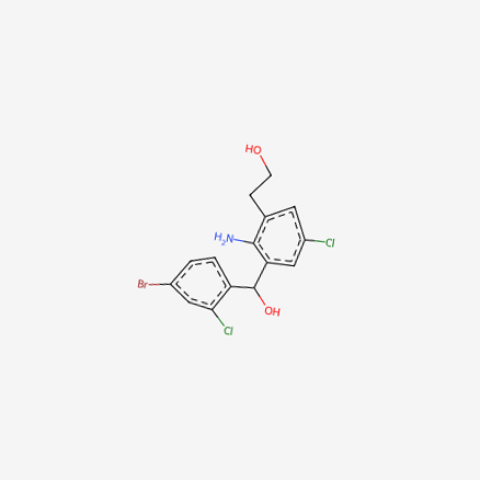 Nc1c(CCO)cc(Cl)cc1C(O)c1ccc(Br)cc1Cl